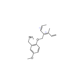 C=C/C(C)=C(/C=C\C)COc1ccc(OC)cc1CN